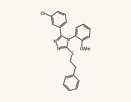 COc1ccccc1-n1c(SCCc2ccccc2)nnc1-c1cccc(Cl)c1